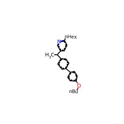 CCCCCCc1ccc(C(C)c2ccc(-c3ccc(OCCCC)cc3)cc2)cn1